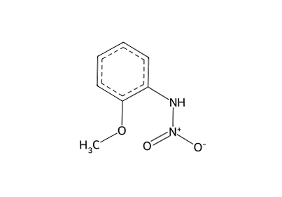 COc1ccccc1N[N+](=O)[O-]